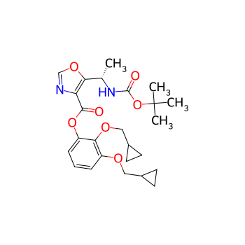 C[C@H](NC(=O)OC(C)(C)C)c1ocnc1C(=O)Oc1cccc(OCC2CC2)c1OCC1CC1